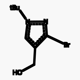 CC(C)(C)n1cc(CO)c(Br)n1